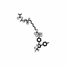 Cc1ccc(-c2cc(C(F)(F)F)nn2-c2ccc(S(=O)(=O)NC(=O)OCCCCCCN(C)/[N+]([O-])=N/OC(C)OC(=O)C(C)C)cc2)cc1